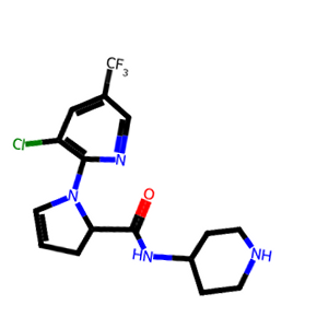 O=C(NC1CCNCC1)C1CC=CN1c1ncc(C(F)(F)F)cc1Cl